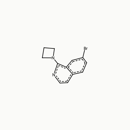 Brc1ccc2ccnc(N3CCC3)c2c1